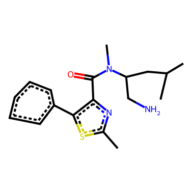 Cc1nc(C(=O)N(C)C(CN)CC(C)C)c(-c2ccccc2)s1